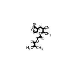 C=C(C)C(=O)OCC(=O)OC(C)C(C#N)CC1CCOC1=O